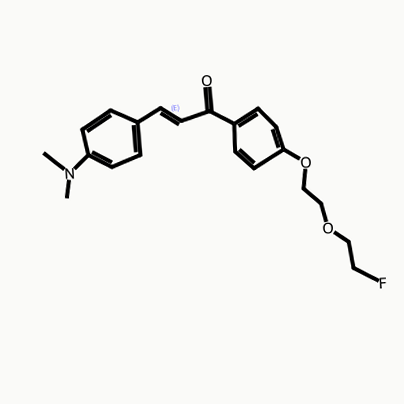 CN(C)c1ccc(/C=C/C(=O)c2ccc(OCCOCCF)cc2)cc1